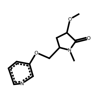 COC1CC(COc2cccnc2)N(C)C1=O